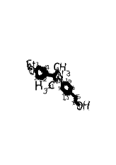 CCOc1ccc(-c2c(C)nn(-c3ccc(CCO)cc3)c2C)cc1